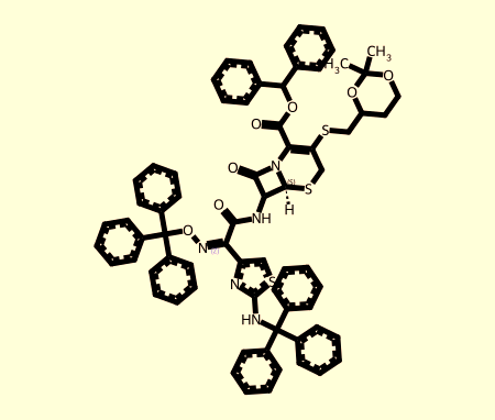 CC1(C)OCCC(CSC2=C(C(=O)OC(c3ccccc3)c3ccccc3)N3C(=O)C(NC(=O)/C(=N\OC(c4ccccc4)(c4ccccc4)c4ccccc4)c4csc(NC(c5ccccc5)(c5ccccc5)c5ccccc5)n4)[C@@H]3SC2)O1